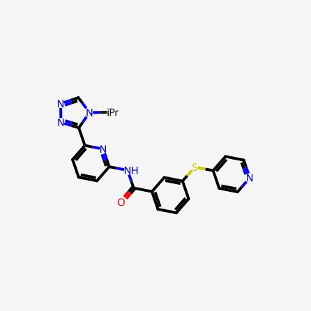 CC(C)n1cnnc1-c1cccc(NC(=O)c2cccc(Sc3ccncc3)c2)n1